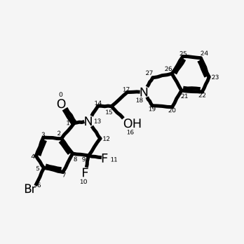 O=C1c2ccc(Br)cc2C(F)(F)CN1CC(O)CN1CCc2ccccc2C1